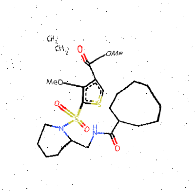 COC(=O)c1csc(S(=O)(=O)N2CCCCC2CNC(=O)[C]2CCCCCCC2)c1OC.[CH2].[CH2]